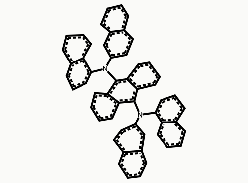 c1ccc2cc(N(c3cccc4ccccc34)c3c4ccccc4c(N(c4ccc5ccccc5c4)c4cccc5ccccc45)c4ccccc34)ccc2c1